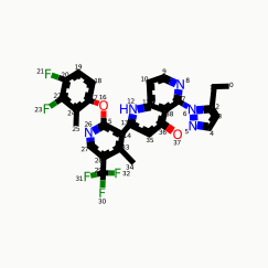 CCc1ccnn1-c1nccc2[nH]c(-c3c(Oc4ccc(F)c(F)c4C)ncc(C(F)(F)F)c3C)cc(=O)c12